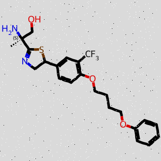 C[C@](N)(CO)C1=NCC(c2ccc(OCCCCOc3ccccc3)c(C(F)(F)F)c2)S1